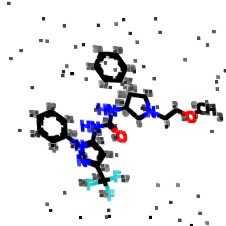 COCCN1C[C@@H](NC(=O)Nc2cc(C(F)(F)F)nn2-c2ccccc2)[C@H](c2ccccc2)C1